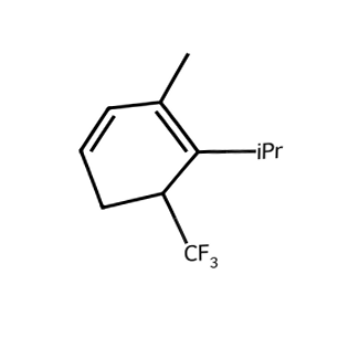 CC1=C(C(C)C)C(C(F)(F)F)CC=C1